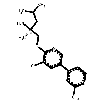 Cc1cc(-c2cnc(OC[C@@](C)(N)CC(C)C)c(Cl)c2)ccn1